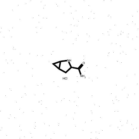 Cl.NC(=O)C1CC2CC2N1